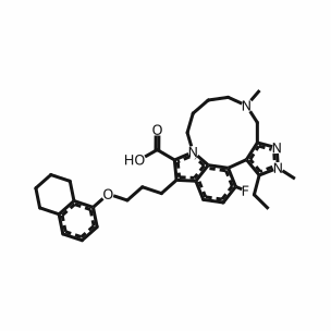 CCc1c2c(nn1C)CN(C)CCCCn1c(C(=O)O)c(CCCOc3cccc4c3CCCC4)c3ccc(F)c-2c31